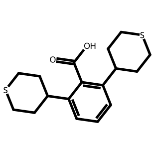 O=C(O)c1c(C2CCSCC2)cccc1C1CCSCC1